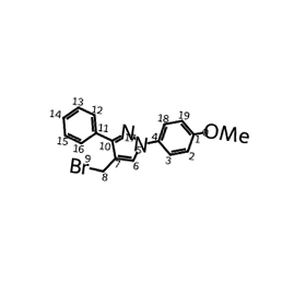 COc1ccc(-n2cc(CBr)c(-c3ccccc3)n2)cc1